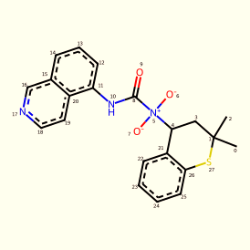 CC1(C)CC([N+]([O-])([O-])C(=O)Nc2cccc3cnccc23)c2ccccc2S1